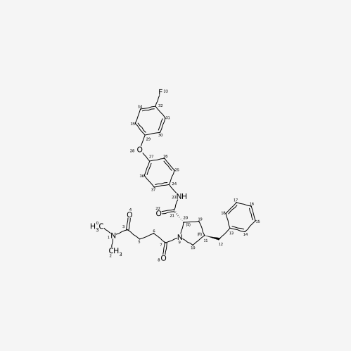 CN(C)C(=O)CCC(=O)N1C[C@H](Cc2ccccc2)C[C@H]1C(=O)Nc1ccc(Oc2ccc(F)cc2)cc1